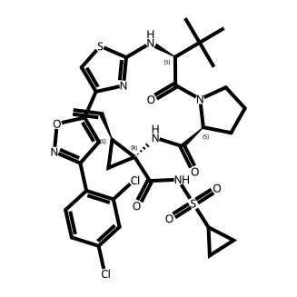 C=C[C@@H]1C[C@]1(NC(=O)[C@@H]1CCCN1C(=O)[C@@H](Nc1nc(-c2cc(-c3ccc(Cl)cc3Cl)no2)cs1)C(C)(C)C)C(=O)NS(=O)(=O)C1CC1